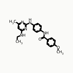 CCNc1cc(C)nc(Nc2ccc(NC(=O)c3ccc(OC)cc3)cc2)n1